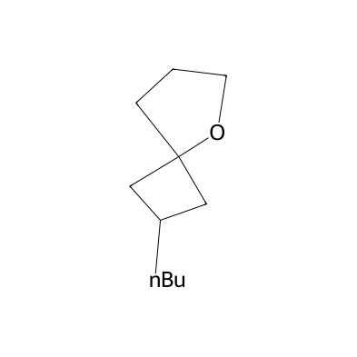 CCCCC1CC2(CCCO2)C1